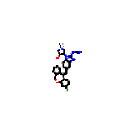 CN1CC(O)C(n2/c(=N/C#N)[nH]c3cc(/C=C4\c5ccccc5COc5cc(F)ccc54)ccc32)C1